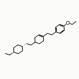 CCOc1ccc(CCC2=CCC(CC[C@H]3CC[C@H](CC)CC3)CC2)cc1